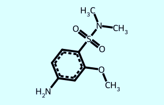 COc1cc(N)ccc1S(=O)(=O)N(C)C